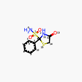 NS(=O)(=O)C1(c2ccccc2)NC(=O)CS1